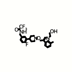 Cc1cccc2c(CON3CCC(c4cc(CNC(=O)C(F)(F)F)ccc4F)CC3)cn(CCO)c12